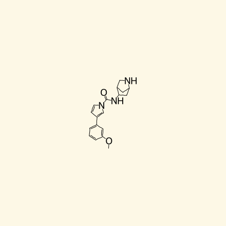 COc1cccc(-c2ccn(C(=O)NC3CC4CC3CN4)c2)c1